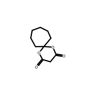 O=C1CC(=O)OC2(CCCCCC2)O1